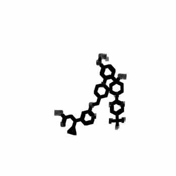 COc1ccc(C2(O)CCN(c3ncc(C(F)(F)F)cn3)CC2)c(N2CCC(COc3cc(C(CC(=O)O)C4CC4)ccn3)CC2)c1